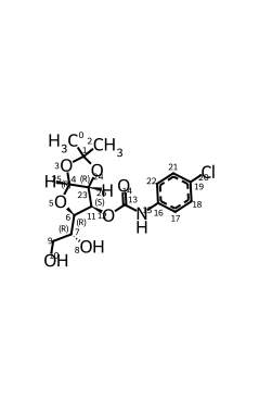 CC1(C)O[C@H]2O[C@H]([C@H](O)CO)[C@H](OC(=O)Nc3ccc(Cl)cc3)[C@H]2O1